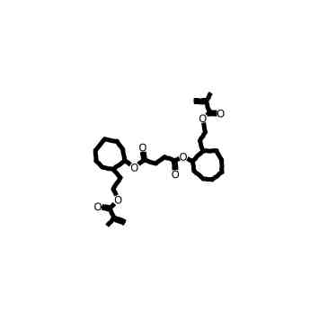 C=C(C)C(=O)OCCC1CCCCCCC1OC(=O)CCC(=O)OC1CCCCCCC1CCOC(=O)C(=C)C